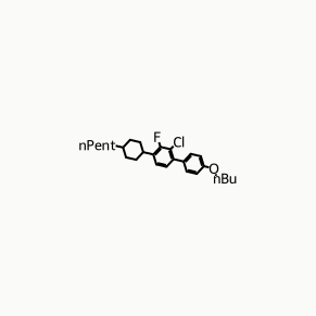 CCCCCC1CCC(c2ccc(-c3ccc(OCCCC)cc3)c(Cl)c2F)CC1